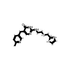 Cc1ccc(Cc2cnc(NCCSCc3nccs3)[nH]c2=O)cn1